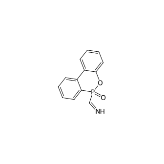 N=CP1(=O)Oc2ccccc2-c2ccccc21